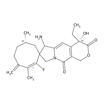 C=C1CC[C@H](C)CC2(Cn3c(cc4c(c3=O)COC(=O)[C@]4(O)CC)C2N)/C(F)=C\1C